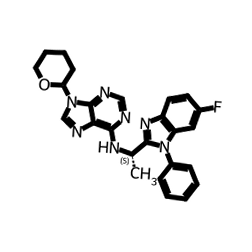 C[C@H](Nc1ncnc2c1ncn2C1CCCCO1)c1nc2ccc(F)cc2n1-c1ccccc1